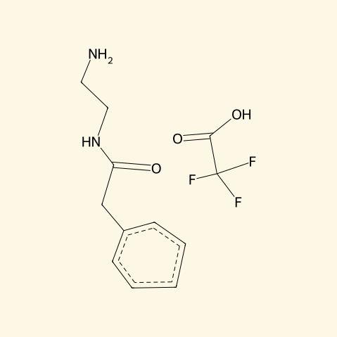 NCCNC(=O)Cc1ccccc1.O=C(O)C(F)(F)F